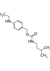 CCNc1ccc(COC(=O)NCCC(C)C)cc1